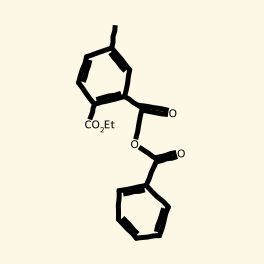 CCOC(=O)c1ccc(C)cc1C(=O)OC(=O)c1ccccc1